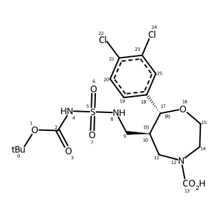 CC(C)(C)OC(=O)NS(=O)(=O)NC[C@@H]1CN(C(=O)O)CCO[C@H]1c1ccc(Cl)c(Cl)c1